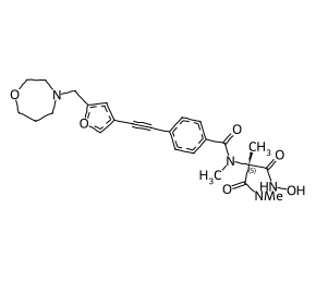 CNC(=O)[C@@](C)(C(=O)NO)N(C)C(=O)c1ccc(C#Cc2coc(CN3CCCOCC3)c2)cc1